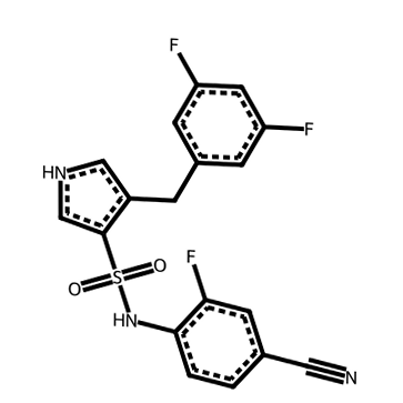 N#Cc1ccc(NS(=O)(=O)c2c[nH]cc2Cc2cc(F)cc(F)c2)c(F)c1